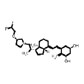 C=C1/C(=C\C=C2/CCC[C@]3(C)[C@@H](C(C)CN4CC[C@@H](OCC(F)F)C4)CC[C@@H]23)C[C@@H](O)C[C@@H]1O